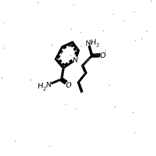 CCCCC(N)=O.NC(=O)c1ccccn1